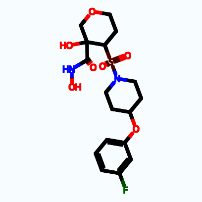 O=C(NO)C1(O)COCCC1S(=O)(=O)N1CCC(Oc2cccc(F)c2)CC1